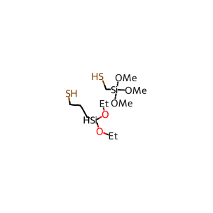 CCO[SiH](CCCS)OCC.CO[Si](CS)(OC)OC